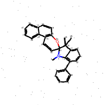 CN1c2c(-c3ccccc3)cccc2C(C)(C)C12C=Cc1c(ccc3ccccc13)O2